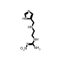 NC(=N[N+](=O)[O-])NCCNCc1cnc[nH]1